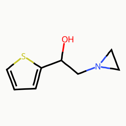 OC(CN1CC1)c1cccs1